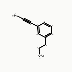 CCCC#Cc1cccc(CCOC(C)=O)c1